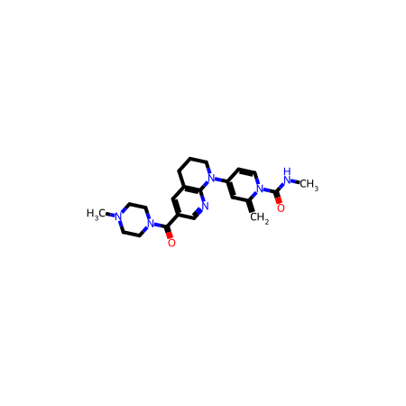 C=C1C=C(N2CCCc3cc(C(=O)N4CCN(C)CC4)cnc32)C=CN1C(=O)NC